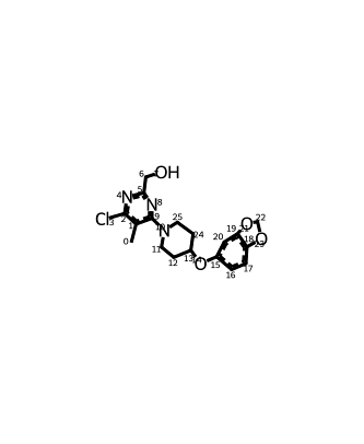 Cc1c(Cl)nc(CO)nc1N1CCC(Oc2ccc3c(c2)OCO3)CC1